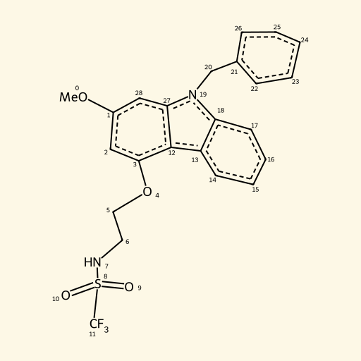 COc1cc(OCCNS(=O)(=O)C(F)(F)F)c2c3ccccc3n(Cc3ccccc3)c2c1